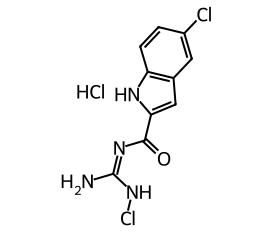 Cl.NC(=NC(=O)c1cc2cc(Cl)ccc2[nH]1)NCl